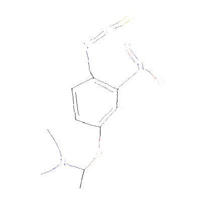 CC(Oc1ccc(N=C=S)c([N+](=O)[O-])c1)N(C)C